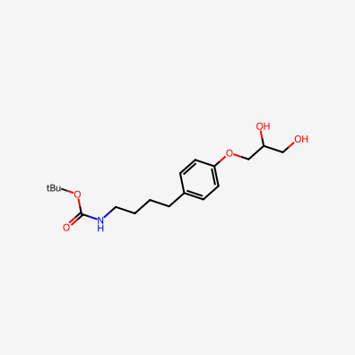 CC(C)(C)OC(=O)NCCCCc1ccc(OCC(O)CO)cc1